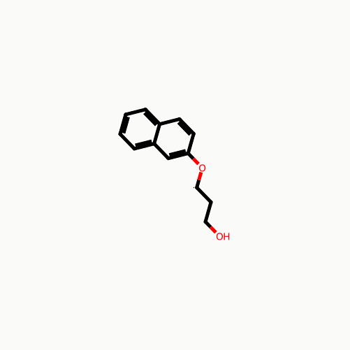 OCC[CH]Oc1ccc2ccccc2c1